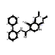 C=C/C=c1/[nH]cc(C(=O)Nc2ccccc2-c2ccccc2)c(=O)/c1=C/C=C